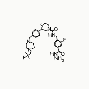 CC(C)(F)CN1CCN(Cc2ccc(C3CN(C(=O)NCc4ccc(C(=O)NN)cc4F)CCS3)cc2)CC1